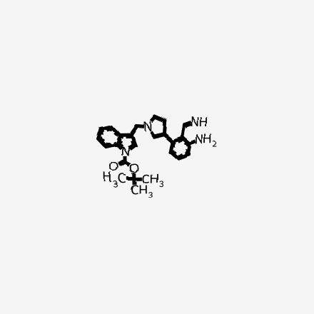 CC(C)(C)OC(=O)n1cc(CN2CCC(c3cccc(N)c3C=N)C2)c2ccccc21